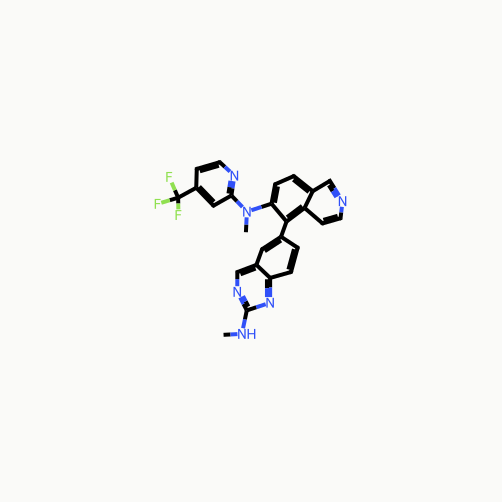 CNc1ncc2cc(-c3c(N(C)c4cc(C(F)(F)F)ccn4)ccc4cnccc34)ccc2n1